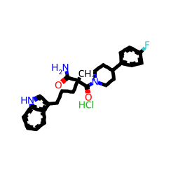 CC(CCCc1c[nH]c2ccccc12)(C(N)=O)C(=O)N1CCC(c2ccc(F)cc2)CC1.Cl